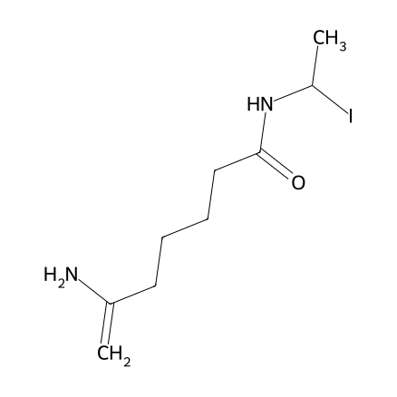 C=C(N)CCCCC(=O)NC(C)I